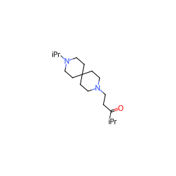 CC(C)C(=O)CCN1CCC2(CC1)CCN(C(C)C)CC2